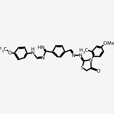 COc1ccc(N2C(=O)CS/C2=N\N=C\c2ccc(C(=N)/N=C\Nc3ccc(OC(F)(F)F)cc3)cc2)c(C)c1